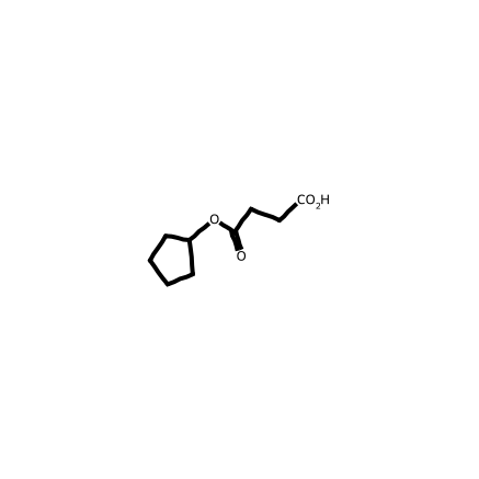 O=C(O)CCC(=O)OC1CCCC1